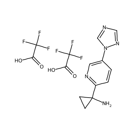 NC1(c2ccc(-n3cncn3)cn2)CC1.O=C(O)C(F)(F)F.O=C(O)C(F)(F)F